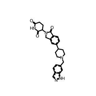 O=C1CCC(N2Cc3cc(C4CCN(Cc5ccc6cn[nH]c6c5)CC4)ccc3C2=O)C(=O)N1